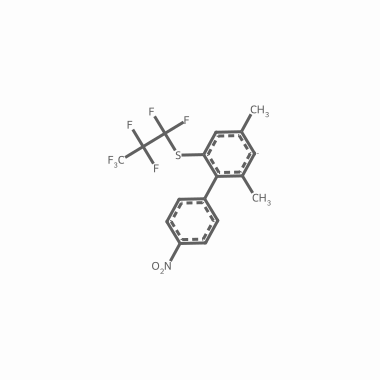 Cc1[c]c(C)c(-c2ccc([N+](=O)[O-])cc2)c(SC(F)(F)C(F)(F)C(F)(F)F)c1